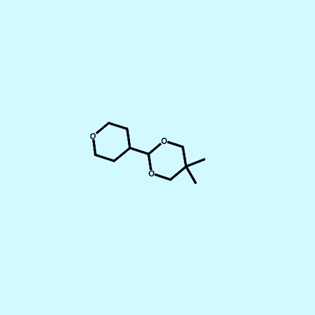 CC1(C)COC(C2CCOCC2)OC1